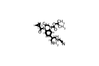 CC(C)OC(=O)N1C[C@H](C)N(C(=O)C2CC2)c2ccc(C(CN)CNCC#N)cc21